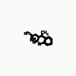 CCCC(=N)CC(C=N)C(C)c1ccccc1Br